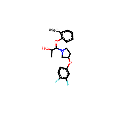 COc1ccccc1OC(C(C)O)N1CCC(Oc2ccc(F)c(F)c2)C1